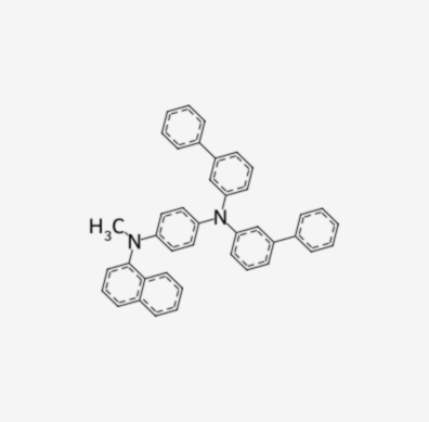 CN(c1ccc(N(c2cccc(-c3ccccc3)c2)c2cccc(-c3ccccc3)c2)cc1)c1cccc2ccccc12